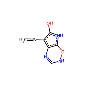 C=Bc1c(O)[nH]c2c1N=CNO2